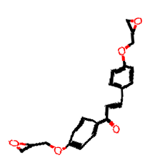 O=C(/C=C/c1ccc(OCC2CO2)cc1)c1ccc(OCC2CO2)cc1